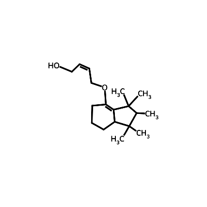 CC1C(C)(C)C2=C(OC/C=C\CO)CCCC2C1(C)C